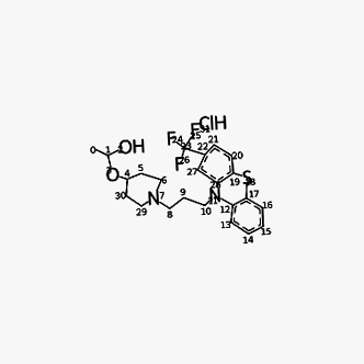 CC(O)OC1CCN(CCCN2c3ccccc3Sc3ccc(C(F)(F)F)cc32)CC1.Cl